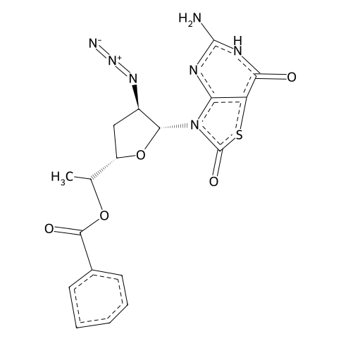 CC(OC(=O)c1ccccc1)[C@@H]1C[C@@H](N=[N+]=[N-])[C@H](n2c(=O)sc3c(=O)[nH]c(N)nc32)O1